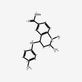 CNC(=O)c1ccc2c(c1)C(Nc1ccc(C)cc1)CC(C)N2C(C)=O